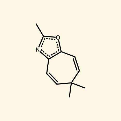 Cc1nc2c(o1)C=CC(C)(C)C=C2